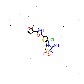 Cc1occc1-c1nnc(-c2cc(Cl)c([C@]3(C)CS(=O)(=O)N(C)C(=N)N3)s2)o1